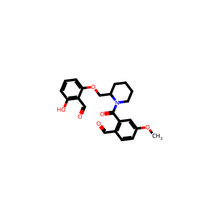 COc1ccc(C=O)c(C(=O)N2CCCCC2COc2cccc(O)c2C=O)c1